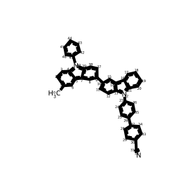 Cc1ccc2c(c1)c1cc(-c3ccc4c(c3)c3ccccc3n4-c3ccc(-c4ccc(C#N)cc4)cc3)ccc1n2-c1ccccc1